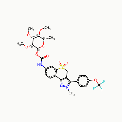 CO[C@@H]1[C@@H](OC)[C@H](C)O[C@@H](OC(=O)Nc2ccc3c(c2)S(=O)(=O)Cc2c-3nn(C)c2-c2ccc(OC(F)(F)F)cc2)[C@@H]1OC